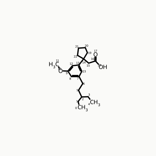 CCC(CC)CCc1cc(OC)cc(C2(CC(=O)O)CCCC2)c1